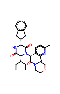 CCC(CC)[C@@H]1C(=O)N[C@H](C2Cc3ccccc3C2)C(=O)N1[C@@H](C(=O)N1CCOCC1)c1ccc(C)nc1C